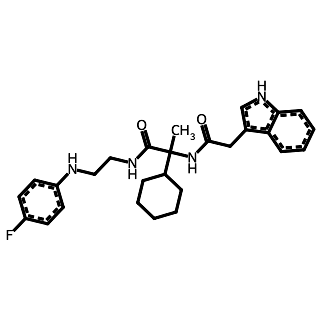 CC(NC(=O)Cc1c[nH]c2ccccc12)(C(=O)NCCNc1ccc(F)cc1)C1CCCCC1